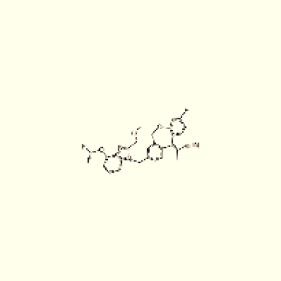 COCc1nc2c(OC(F)F)cccc2n1Cc1ccc2c(c1)COc1cc(F)ccc1C2=C(C)C#N